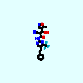 Cc1oncc1/C(O)=C(\C#N)C(=O)Nc1ncc(CCc2ccccc2)c(C(F)(F)F)n1